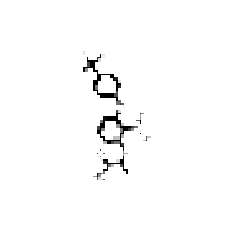 CC(Oc1cccc(Oc2ccc(C(F)(F)F)cc2)c1[N+](=O)[O-])C(=O)O